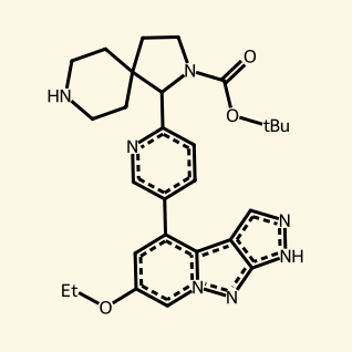 CCOc1cc(-c2ccc(C3N(C(=O)OC(C)(C)C)CCC34CCNCC4)nc2)c2c3cn[nH]c3nn2c1